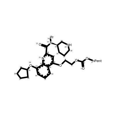 CCCCCOC(=O)OCCOc1cc(C(=O)N(C(C)C)[C@@H]2CCCNC2)nc2c(OC3CCCC3)cccc12